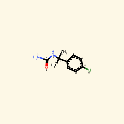 CC(C)(NC(N)=O)c1ccc(Cl)cc1